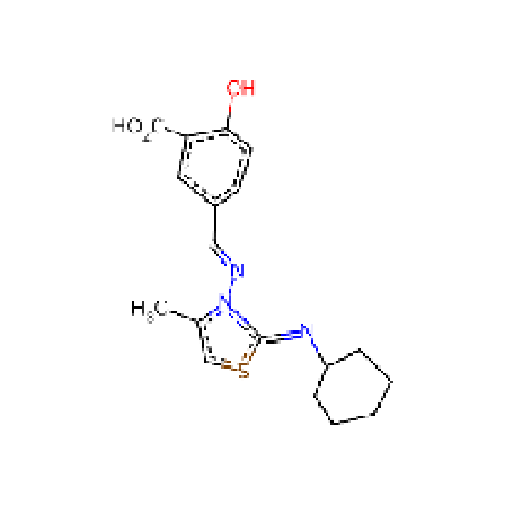 Cc1cs/c(=N\C2CCCCC2)n1/N=C/c1ccc(O)c(C(=O)O)c1